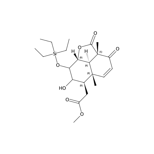 CC[Si](CC)(CC)OC1C(O)[C@H](CC(=O)OC)[C@@]2(C)C=CC(=O)[C@@]3(C)C(=O)O[C@@H]1[C@@H]32